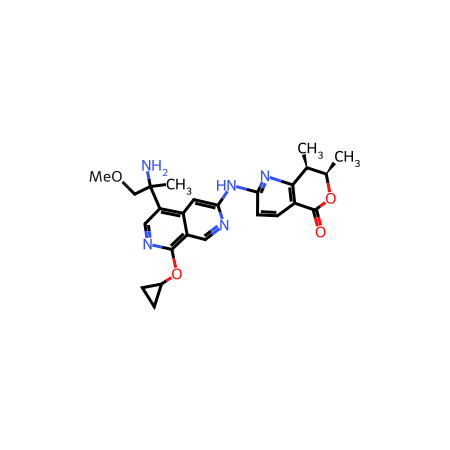 COCC(C)(N)c1cnc(OC2CC2)c2cnc(Nc3ccc4c(n3)[C@@H](C)[C@@H](C)OC4=O)cc12